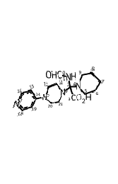 O=CNC(C(=O)O)(N1CCCCC1)N1CCN(c2ccncc2)CC1